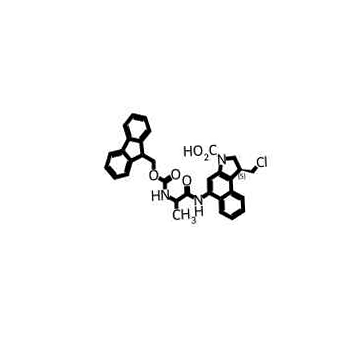 CC(NC(=O)OCC1c2ccccc2-c2ccccc21)C(=O)Nc1cc2c(c3ccccc13)[C@H](CCl)CN2C(=O)O